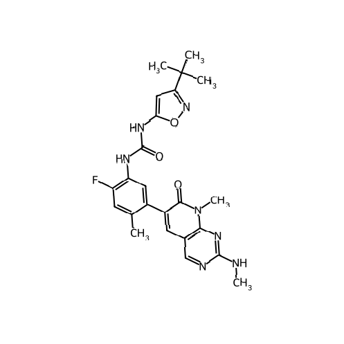 CNc1ncc2cc(-c3cc(NC(=O)Nc4cc(C(C)(C)C)no4)c(F)cc3C)c(=O)n(C)c2n1